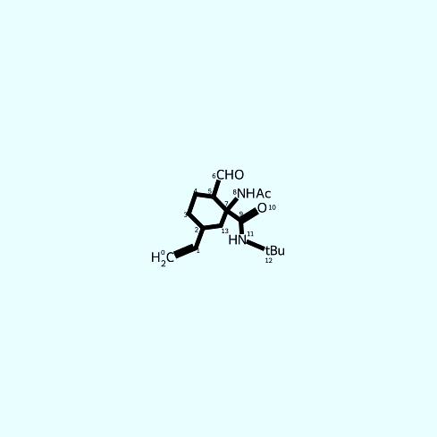 C=CC1CCC(C=O)C(NC(C)=O)(C(=O)NC(C)(C)C)C1